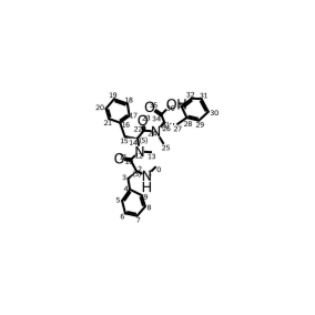 CN[C@@H](Cc1ccccc1)C(=O)N(C)[C@@H](Cc1ccccc1)C(=O)N(C)[C@@H](Cc1ccccc1)C(=O)O